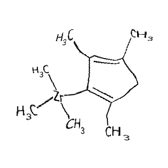 CC1=C(C)[C]([Zr]([CH3])([CH3])[CH3])=C(C)C1